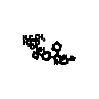 CC(C)(C)OC(=O)NC1(c2ccc(-c3nc4ccc(Br)nn4c3-c3ccccc3)cc2)CCC1